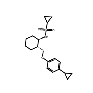 O=S(=O)(N[C@@H]1CCCC[C@H]1COc1ccc(C2CC2)cc1)C1CC1